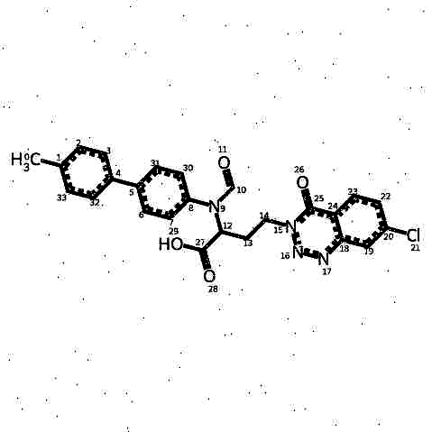 Cc1ccc(-c2ccc(N(C=O)C(CCn3nnc4cc(Cl)ccc4c3=O)C(=O)O)cc2)cc1